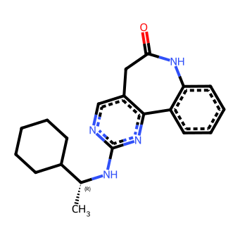 C[C@@H](Nc1ncc2c(n1)-c1ccccc1NC(=O)C2)C1CCCCC1